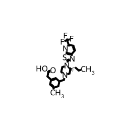 CCC[C@@H]1CN(CC2C=C(CC(=O)O)C=C(C)C2)CCN1c1nc2ccc(C(F)(F)F)nc2s1